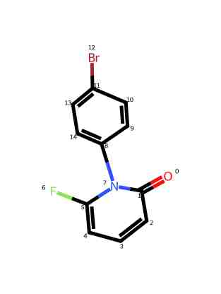 O=c1cccc(F)n1-c1ccc(Br)cc1